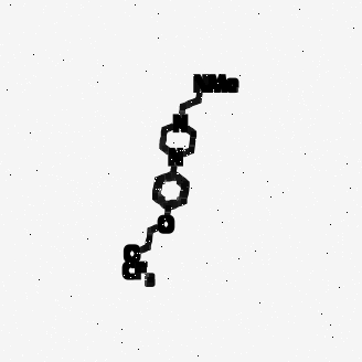 CNCCN1CCN(c2ccc(OCCOC(F)(F)F)cc2)CC1